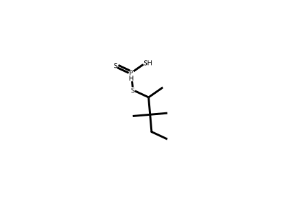 CCC(C)(C)C(C)S[PH](=S)S